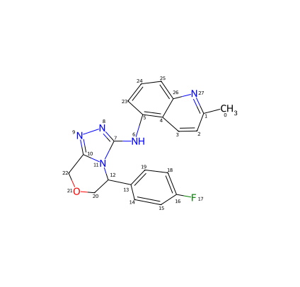 Cc1ccc2c(Nc3nnc4n3C(c3ccc(F)cc3)COC4)cccc2n1